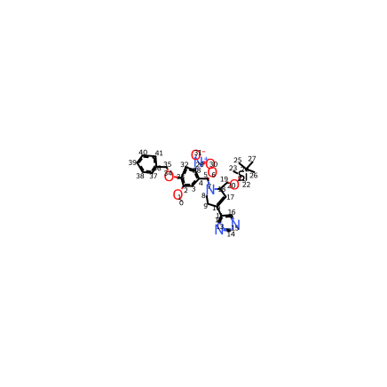 COc1cc(C(=O)N2CCC(c3cncnc3)=CC2CO[Si](C)(C)C(C)(C)C)c([N+](=O)[O-])cc1OCc1ccccc1